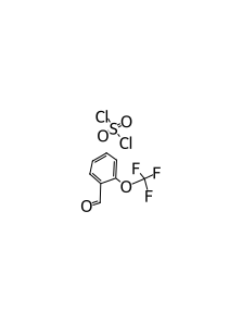 O=Cc1ccccc1OC(F)(F)F.O=S(=O)(Cl)Cl